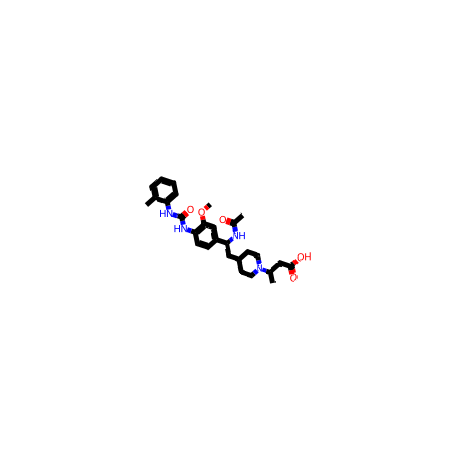 COc1cc(C(CC2CCN(C(C)CC(=O)O)CC2)NC(C)=O)ccc1NC(=O)Nc1ccccc1C